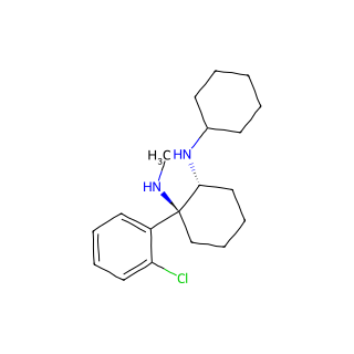 CN[C@]1(c2ccccc2Cl)CCCC[C@H]1NC1CCCCC1